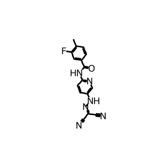 Cc1ccc(C(=O)Nc2ccc(NN=C(C#N)C#N)cn2)cc1F